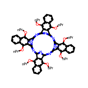 CCCOc1c2c(c(OCCC)c3ccccc13)-c1nc-2nc2[nH]c(nc3nc(nc4[nH]c(n1)c1c(OCCC)c5ccccc5c(OCCC)c41)-c1c-3c(OCCC)c3ccccc3c1OCCC)c1c(OCCC)c3ccccc3c(OCCC)c21